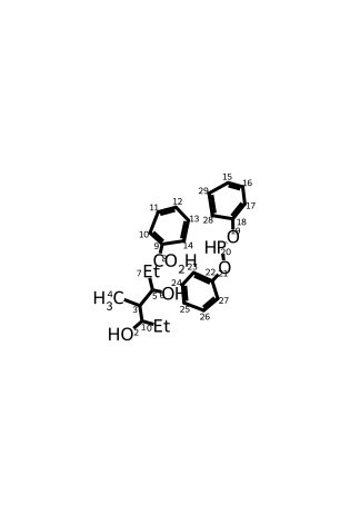 CCC(O)C(C)C(O)CC.O=C(O)c1ccccc1.c1ccc(OPOc2ccccc2)cc1